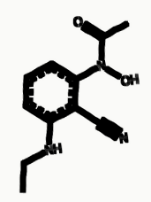 CCNc1cccc(N(O)C(C)=O)c1C#N